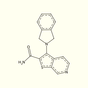 NC(=O)c1sc2cnccc2c1N1Cc2ccccc2C1